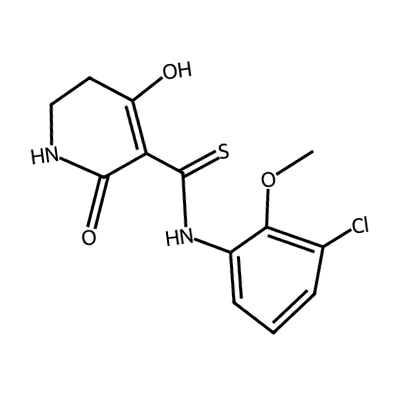 COc1c(Cl)cccc1NC(=S)C1=C(O)CCNC1=O